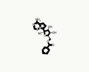 N#C[C@@]1(c2ccc3c(N)ncnn23)O[C@H](COC(=O)c2ccccc2)[C@@H](O)[C@H]1O